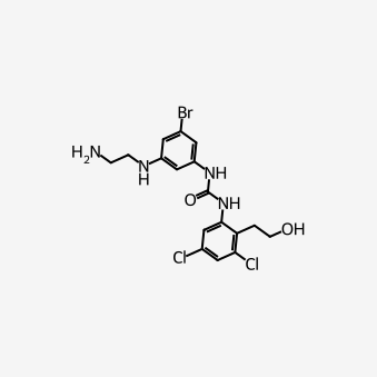 NCCNc1cc(Br)cc(NC(=O)Nc2cc(Cl)cc(Cl)c2CCO)c1